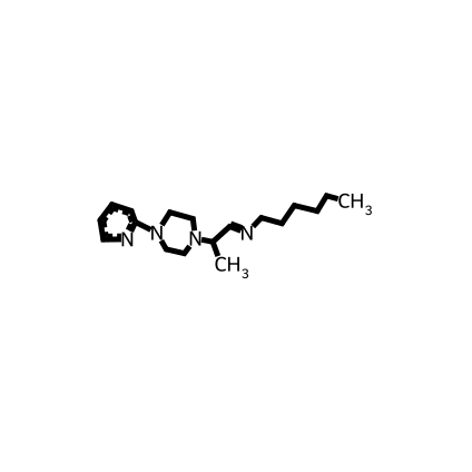 CCCCCCN=CC(C)N1CCN(c2ccccn2)CC1